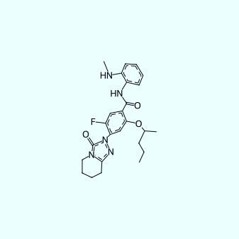 CCCC(C)Oc1cc(-n2nc3n(c2=O)CCCC3)c(F)cc1C(=O)Nc1ccccc1NC